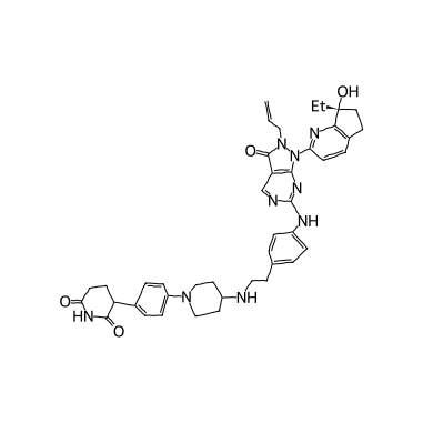 C=CCn1c(=O)c2cnc(Nc3ccc(CCNC4CCN(c5ccc(C6CCC(=O)NC6=O)cc5)CC4)cc3)nc2n1-c1ccc2c(n1)[C@@](O)(CC)CC2